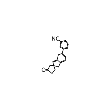 N#Cc1cccc(C2=CC=C3CC4(C=C3C2)CCC(=O)C4)c1